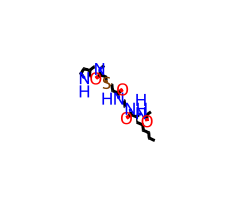 CCCCCC[C@H](NC(C)=O)C(=O)NCCNC(=O)CCSCC(=O)N(C)CC1CCNC1